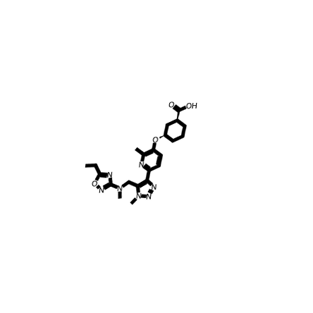 CCc1nc(N(C)Cc2c(-c3ccc(O[C@H]4CCC[C@H](C(=O)O)C4)c(C)n3)nnn2C)no1